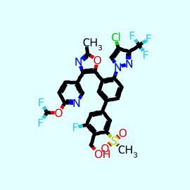 Cc1nc(-c2ccc(OC(F)F)nc2)c(-c2cc(-c3cc(F)c(CO)c(S(C)(=O)=O)c3)ccc2-n2cc(Cl)c(C(F)(F)F)n2)o1